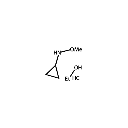 CCO.CONC1CC1.Cl